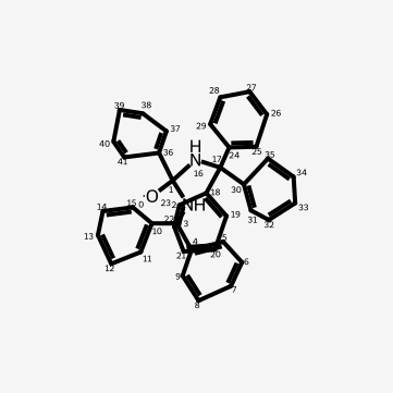 [O]C(NC(c1ccccc1)c1ccccc1)(NC(c1ccccc1)(c1ccccc1)c1ccccc1)c1ccccc1